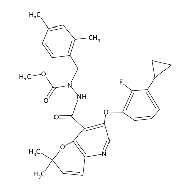 COC(=O)N(Cc1ccc(C)cc1C)NC(=O)c1c(Oc2cccc(C3CC3)c2F)cnc2c1OC(C)(C)C=C2